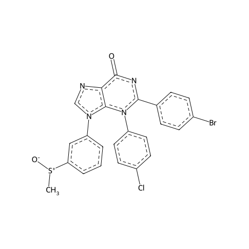 C[S+]([O-])c1cccc(-n2cnc3c(=O)nc(-c4ccc(Br)cc4)n(-c4ccc(Cl)cc4)c32)c1